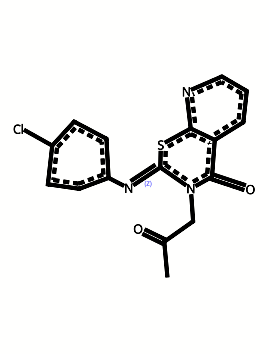 CC(=O)Cn1c(=O)c2cccnc2s/c1=N\c1ccc(Cl)cc1